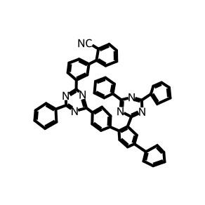 N#Cc1ccccc1-c1cccc(-c2nc(-c3ccccc3)nc(-c3ccc(-c4ccc(-c5ccccc5)cc4-c4nc(-c5ccccc5)nc(-c5ccccc5)n4)cc3)n2)c1